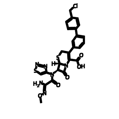 CO/N=C(\N)C(=O)N(c1csnn1)[C@@H]1C(=O)N2C(C(=O)O)=C(c3cccc(-c4ccc(CCl)cc4)c3)CS[C@@H]12